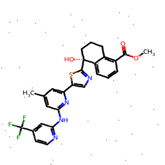 COC(=O)c1cccc2c1CCC[C@]2(O)c1ncc(-c2cc(C)cc(Nc3cc(C(F)(F)F)ccn3)n2)s1